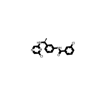 C[C@H](Nc1cncc(Cl)n1)c1cccc(NC(=O)c2cccc(Cl)c2)c1